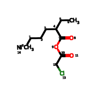 CCCCC(CC)C(=O)OC(=O)CCl.[Ni]